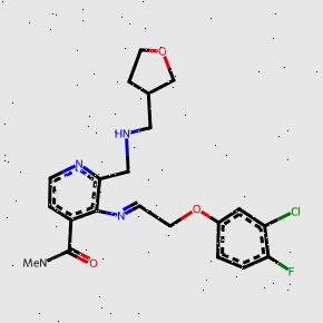 CNC(=O)c1ccnc(CNCC2CCOC2)c1/N=C/COc1ccc(F)c(Cl)c1